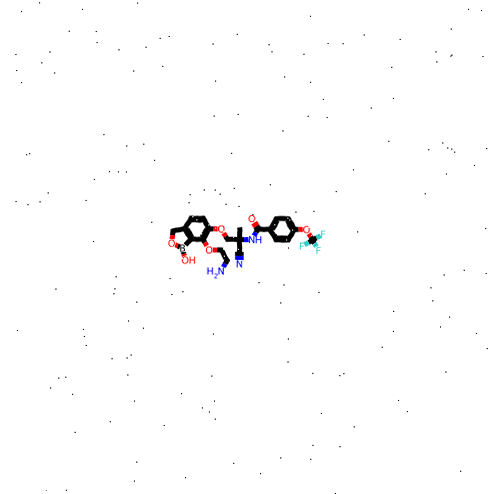 CC(C#N)(COc1ccc2c(c1OCCN)B(O)OC2)NC(=O)c1ccc(OC(F)(F)F)cc1